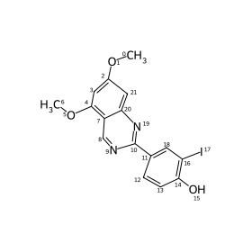 COc1cc(OC)c2cnc(-c3ccc(O)c(I)c3)nc2c1